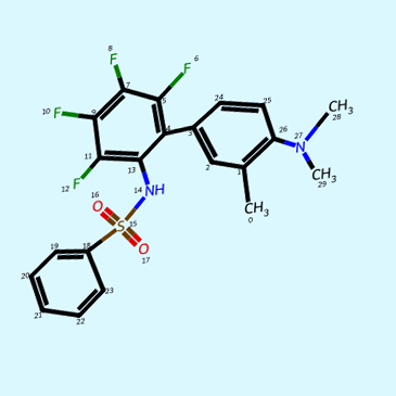 Cc1cc(-c2c(F)c(F)c(F)c(F)c2NS(=O)(=O)c2ccccc2)ccc1N(C)C